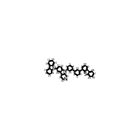 c1cc(-c2cccc(-n3c4ccc(-n5c6ccccc6c6ccccc65)cc4c4ccncc43)c2)cc(-c2cccc3c2sc2ccccc23)c1